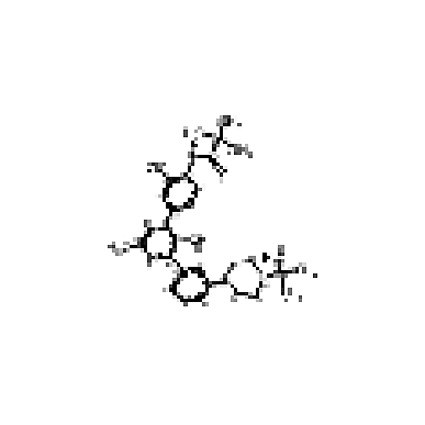 BC(B)(B)C(=O)Nc1ccc(-c2cc(C)nc(-c3cccc(N4CCN(C(C)(C)C)CC4)c3)c2O)cc1Cl